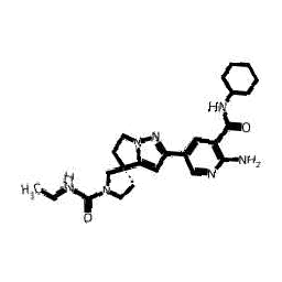 CCNC(=O)N1CC[C@@]2(CCn3nc(-c4cnc(N)c(C(=O)NC5CCCCC5)c4)cc32)C1